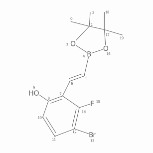 CC1(C)OB(/C=C/c2c(O)ccc(Br)c2F)OC1(C)C